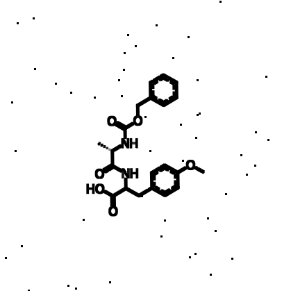 COc1ccc(CC(NC(=O)[C@H](C)NC(=O)OCc2ccccc2)C(=O)O)cc1